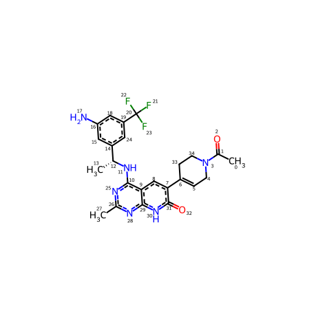 CC(=O)N1CC=C(c2cc3c(N[C@H](C)c4cc(N)cc(C(F)(F)F)c4)nc(C)nc3[nH]c2=O)CC1